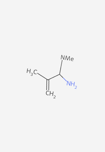 C=C(C)C(N)NC